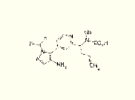 C=CC[C@H](c1cc(-c2c(N)cnn2C(F)F)ccn1)N(C(=O)O)C(C)(C)C